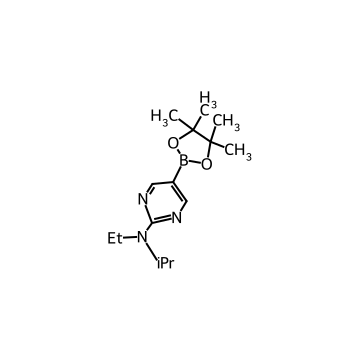 CCN(c1ncc(B2OC(C)(C)C(C)(C)O2)cn1)C(C)C